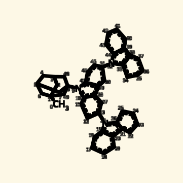 CC12CC3CC(C1)CC(n1c4ccc(-n5c6ccccc6c6ccccc65)cc4c4cc(-n5c6ccccc6c6ccccc65)ccc41)(C3)C2